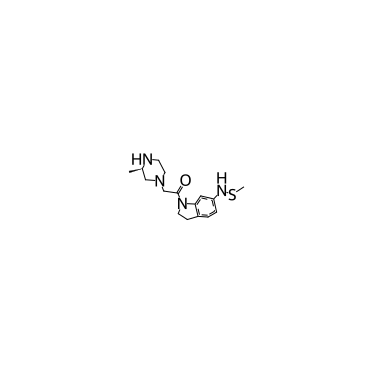 CSNc1ccc2c(c1)N(C(=O)CN1CCN[C@H](C)C1)CC2